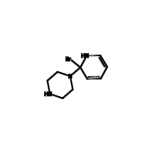 BrC1(N2CCNCC2)C=CC=CN1